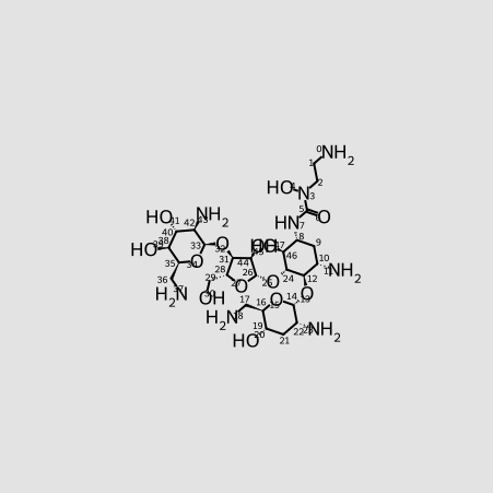 NCCN(O)C(=O)N[C@@H]1C[C@H](N)[C@@H](O[C@H]2O[C@H](CN)[C@@H](O)C[C@H]2N)[C@H](O[C@@H]2O[C@H](CO)[C@@H](O[C@H]3O[C@@H](CN)[C@@H](O)[C@H](O)[C@H]3N)[C@H]2O)[C@H]1O